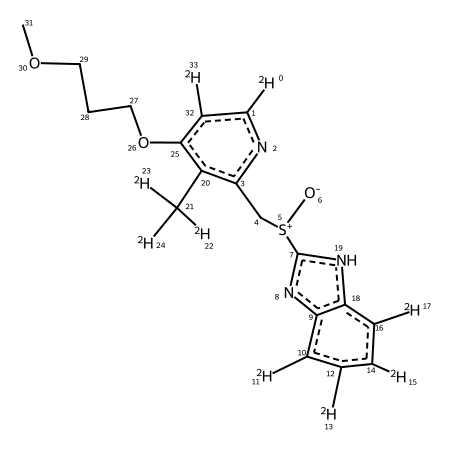 [2H]c1nc(C[S+]([O-])c2nc3c([2H])c([2H])c([2H])c([2H])c3[nH]2)c(C([2H])([2H])[2H])c(OCCCOC)c1[2H]